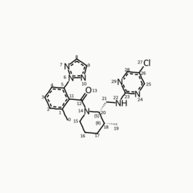 Cc1cccc(-n2nccn2)c1C(=O)N1CCC[C@@H](C)[C@H]1CNc1ncc(Cl)cn1